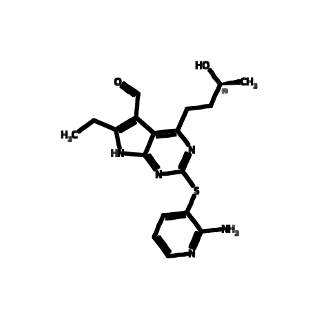 CCc1[nH]c2nc(Sc3cccnc3N)nc(CC[C@H](C)O)c2c1C=O